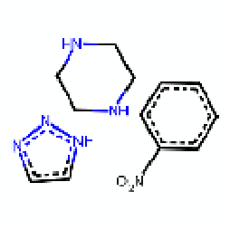 C1CNCCN1.O=[N+]([O-])c1ccccc1.c1c[nH]nn1